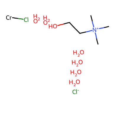 C[N+](C)(C)CCO.O.O.O.O.O.O.[Cl-].[Cl][Cr]